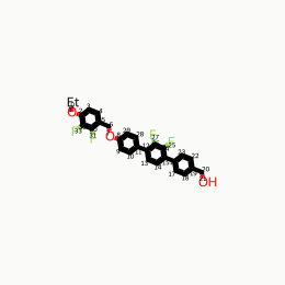 CCOc1ccc(COc2ccc(-c3ccc(-c4ccc(CO)cc4)c(F)c3F)cc2)c(F)c1F